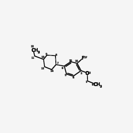 CCOc1ccc(C2CCC(CC)CC2)cc1F